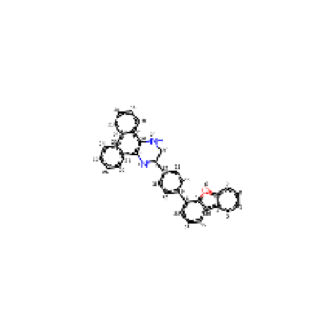 c1ccc2c(c1)oc1c(-c3ccc(C4=Nc5c(c6ccccc6c6ccccc56)NC4)cc3)cccc12